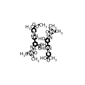 CCN1CN(C)CN(c2nc3cc(-c4cnc(N5CCC(C)(C(=O)O)CC5)nc4)cc(O)c3s2)C1=O.CCOC(=O)C1(C)CCN(c2ncc(-c3cc(B(O)O)c4sc(N5CN(C)CN(CC)C5=O)nc4c3)cn2)CC1